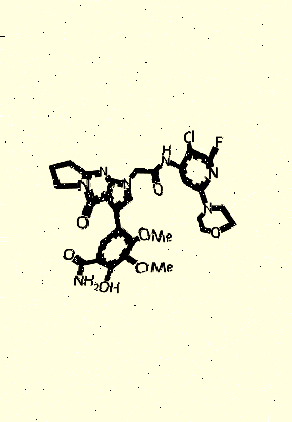 COc1c(-c2cn(CC(=O)Nc3cc(N4CCOCC4)nc(F)c3Cl)c3nc4n(c(=O)c23)CCC4)cc(C(N)=O)c(O)c1OC